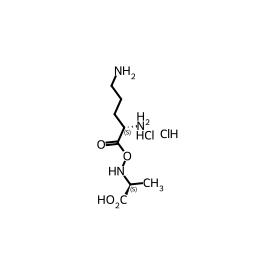 C[C@H](NOC(=O)[C@@H](N)CCCN)C(=O)O.Cl.Cl